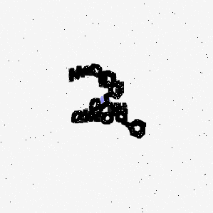 COC(=O)/C(=C/c1ccnc2ccc(OC)nc12)NC(=O)OCc1ccccc1